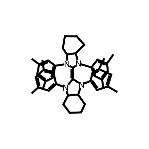 Cc1cc(C)cc(N2C(=C3N(c4cc(C)cc(C)c4)C4CCCCC4N3c3cc(C)cc(C)c3)N(c3cc(C)cc(C)c3)C3CCCCC32)c1